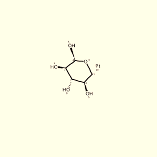 O[C@@H]1[C@@H](O)[C@@H](O)OC[C@H]1O.[Pt]